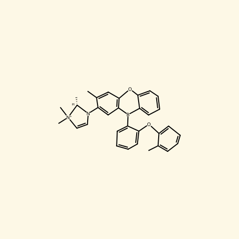 Cc1ccccc1Oc1ccccc1B1c2ccccc2Oc2cc(C)c(N3C=C[N+](C)(C)[C@@H]3C)cc21